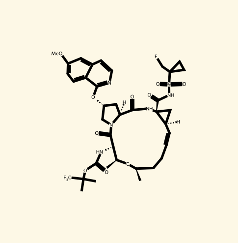 COc1ccc2c(O[C@@H]3C[C@H]4C(=O)N[C@]5(C(=O)NS(=O)(=O)C6(CF)CC6)C[C@H]5/C=C\CC[C@@H](C)C[C@@H](C)[C@H](NC(=O)OC(C)(C)C(F)(F)F)C(=O)N4C3)nccc2c1